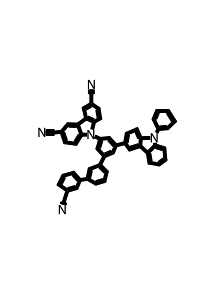 N#Cc1cccc(-c2cccc(-c3cc(-c4ccc5c(c4)c4ccccc4n5-c4ccccc4)cc(-n4c5ccc(C#N)cc5c5cc(C#N)ccc54)c3)c2)c1